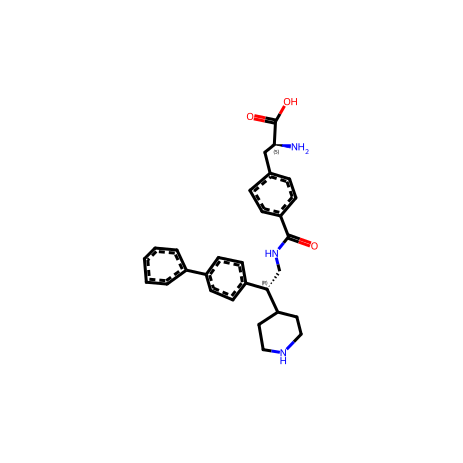 N[C@@H](Cc1ccc(C(=O)NC[C@@H](c2ccc(-c3ccccc3)cc2)C2CCNCC2)cc1)C(=O)O